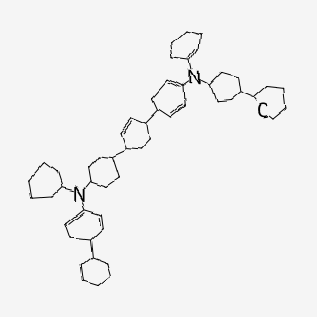 C1=CC(C2C=CC(C3CCC(N(C4=CCC(C5CCCCC5)C=C4)C4CCCCC4)CC3)CC2)CC=C1N(C1=CCCCC1)C1CCC(C2CCCCC2)CC1